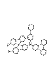 Fc1ccc2c(c1)C1(c3cc(F)ccc3-2)c2cc(F)ccc2-c2ccc(N(c3ccc(-c4ccccc4)cc3)c3ccc4c5ccccc5c5ccccc5c4c3)cc21